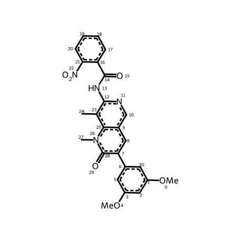 COc1cc(OC)cc(-c2cc3cnc(NC(=O)c4ccccc4[N+](=O)[O-])c(C)c3n(C)c2=O)c1